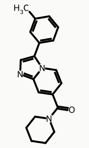 Cc1cccc(-c2cnc3cc(C(=O)N4CCCCC4)ccn23)c1